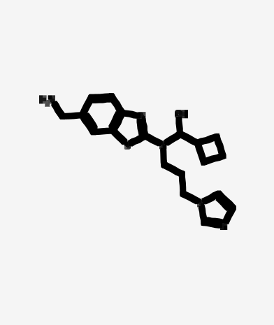 NCc1ccc2nc(N(CCCn3ccnc3)C(O)C3CCC3)sc2c1